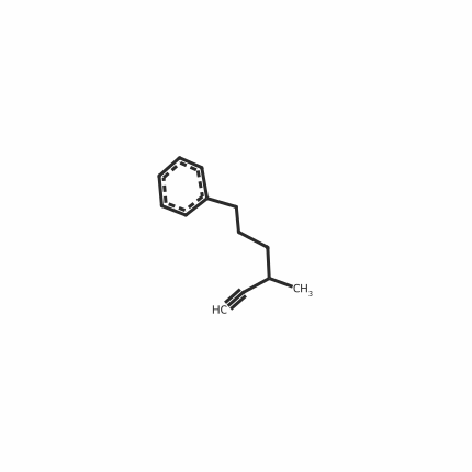 C#CC(C)CCCc1ccccc1